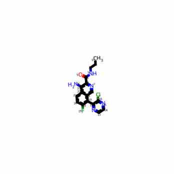 CCCNC(=O)c1ncc2c(-c3nccnc3Cl)c(F)ccc2c1N